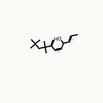 C=C(/C=C\C(O)/C=C/C)C(C)(C)CC(C)(C)C